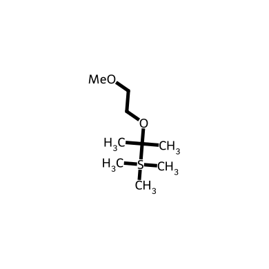 COCCOC(C)(C)S(C)(C)C